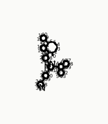 C=C1/C=C\C=C/C/C(c2ccccc2)=c2/cccc/c2=C/1c1cccc(-c2nc(-c3ccc(-c4cccnc4)cc3)cc(-c3cc4ccccc4c4ccccc34)n2)c1